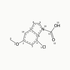 COc1cc(Cl)c2c(ccn2C(=O)O)c1